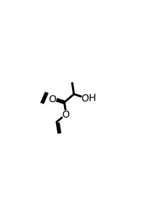 C=C.C=COC(=O)C(C)O